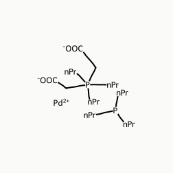 CCCP(CCC)(CCC)(CC(=O)[O-])CC(=O)[O-].CCCP(CCC)CCC.[Pd+2]